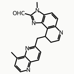 Cc1ccnc2ccc(CC3CC=Nc4ccc5c(nc(C=O)n5C)c43)nc12